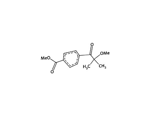 COC(=O)c1ccc(C(=O)C(C)(C)OC)cc1